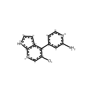 Nc1cc(-c2c(Cl)cnc3[nH]ccc23)ccn1